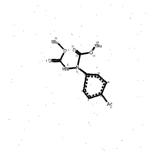 CC(=O)c1ccc(N(NC(=O)OC(C)(C)C)C(=O)OC(C)(C)C)cc1